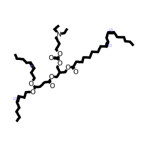 CCCC/C=C\CCOC(CCC(=O)OCC(COC(=O)CCCCCCC/C=C\C/C=C\CCCCC)COC(=O)OCCCN(CC)CC)OCC/C=C\CCCC